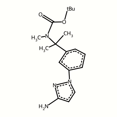 CN(C(=O)OC(C)(C)C)C(C)(C)c1cccc(-n2ccc(N)n2)c1